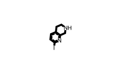 Ic1ccc2c(n1)CNCC2